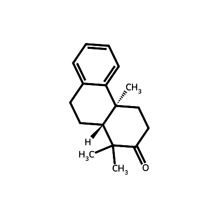 CC1(C)C(=O)CC[C@]2(C)c3ccccc3CC[C@@H]12